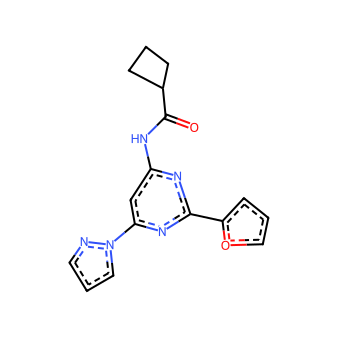 O=C(Nc1cc(-n2cccn2)nc(-c2ccco2)n1)C1CCC1